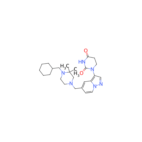 CC1(C)CN(Cc2ccn3ncc(N4CCC(=O)NC4=O)c3c2)CCN1CC1CCCCC1